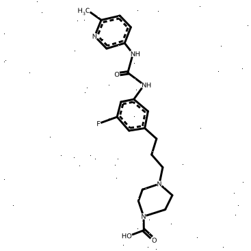 Cc1ccc(NC(=O)Nc2cc(F)cc(CCCN3CCN(C(=O)O)CC3)c2)cn1